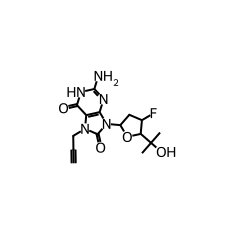 C#CCn1c(=O)n(C2CC(F)C(C(C)(C)O)O2)c2nc(N)[nH]c(=O)c21